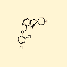 N#CC1(Cc2ccnc(COc3ccc(Cl)cc3Cl)c2)CCNCC1